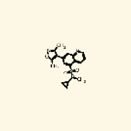 Cc1noc(C)c1-c1cc(S(=O)(=O)N(C)C2CC2)c2cccnc2c1